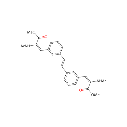 COC(=O)/C(=C\c1cccc(/C=C/c2cccc(/C=C(/NC(C)=O)C(=O)OC)c2)c1)NC(C)=O